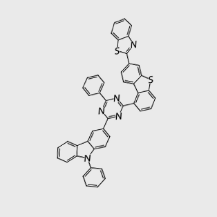 c1ccc(-c2nc(-c3ccc4c(c3)c3ccccc3n4-c3ccccc3)nc(-c3cccc4sc5cc(-c6nc7ccccc7s6)ccc5c34)n2)cc1